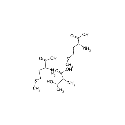 CC(O)C(N)C(=O)O.CSCCC(N)C(=O)O.CSCCC(N)C(=O)O